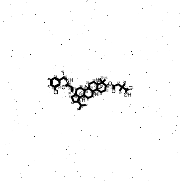 CC(C)C1=C2[C@H]3CC[C@@H]4[C@@]5(C)CC[C@H](OC(=O)CC(C)(C)C(=O)O)C(C)(C)[C@@H]5CC[C@@]4(C)[C@]3(C)CC[C@]2(C=CC(=O)N[C@@H](C)c2cccc(Cl)c2)CC1